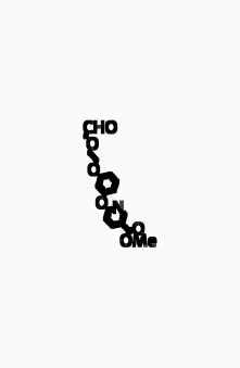 COC(=O)c1ccc(Oc2cccc(OCCOCC=O)c2)nc1